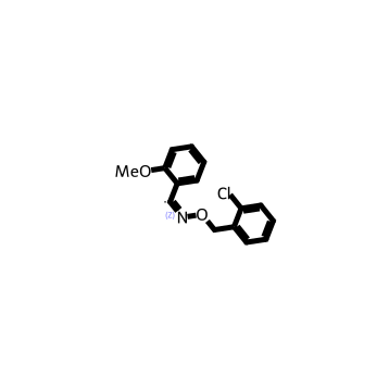 COc1ccccc1/[C]=N\OCc1ccccc1Cl